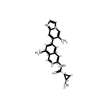 Cc1cn2ccnc2cc1-c1cc(N)c2cnc(NC(=O)[C@@H]3C[C@H]3C#N)cc2c1